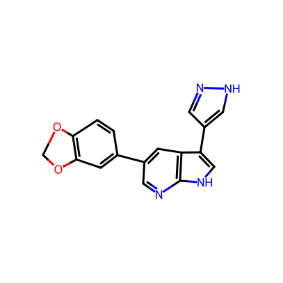 c1cc2c(cc1-c1cnc3[nH]cc(-c4cn[nH]c4)c3c1)OCO2